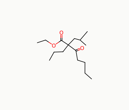 CCCCC(=O)C(CCC)(CC(C)C)C(=O)OCC